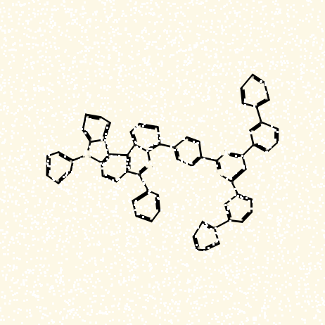 c1ccc(-c2cccc(-c3cc(-c4cccc(-c5ccccc5)c4)nc(-c4ccc(-c5cccc6c5nc(-c5ccccc5)c5ccc7c(c8ccccc8n7-c7ccccc7)c56)cc4)n3)c2)cc1